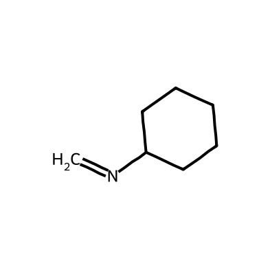 C=NC1CCCCC1